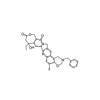 CCC1(O)CC(=O)OCc2c1cc1n(c2=O)Cc2cc3c4c(c(F)cc3nc2-1)OCN(Cc1ccccc1)C4